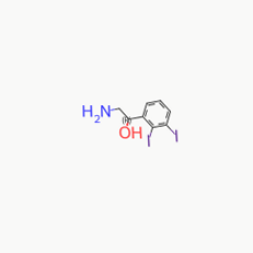 NC[C@H](O)c1cccc(I)c1I